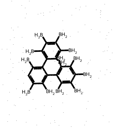 Bc1cc(B)c(-c2c(B)c(B)c(B)c(B)c2B)c(-c2c(B)c(B)c(B)c(B)c2B)c1B